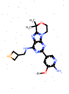 CC(C)Oc1cc(-c2nc(NCC3CPC3)c3nc4n(c3n2)CCOC4(C)C)cnc1N